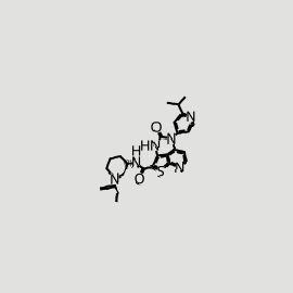 C=CC(=C)N1CCC[C@@H](NC(=O)c2sc3nccc4c3c2NC(=O)N4c2ccnc(C(C)C)c2)C1